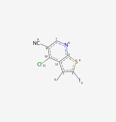 Cc1c(I)sc2ncc(C#N)c(Cl)c12